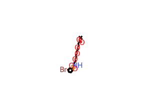 CC(C)(C)OC(=O)CCOCCOCCOCCNS(=O)(=O)c1cccc(Br)c1